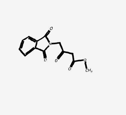 COC(=O)CC(=O)CN1C(=O)c2ccccc2C1=O